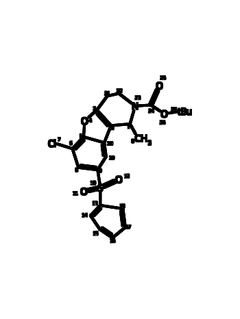 CC1c2c(oc3c(Cl)cc(S(=O)(=O)c4ccccc4)cc23)CCN1C(=O)OC(C)(C)C